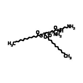 CCCCCCCCCCCC(=O)OC[C@H](CSC[C@H](N)C(=O)NCCCCN)OC(=O)CCCCCCCCCCC